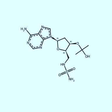 CC(C)(O)O[C@@H]1C[C@H](n2cnc3c(N)ncnc32)O[C@@H]1CNS(N)(=O)=O